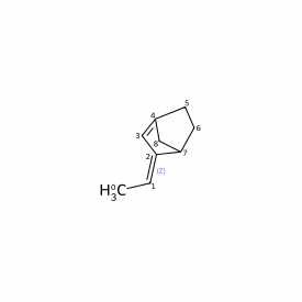 C/C=C1\C=C2CCC1C2